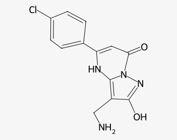 NCc1c(O)nn2c(=O)cc(-c3ccc(Cl)cc3)[nH]c12